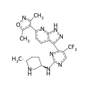 Cc1noc(C)c1-c1ccc2c(-c3nc(N[C@@H]4CC[C@@H](C)NC4)ncc3C(F)(F)F)n[nH]c2n1